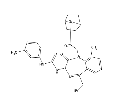 Cc1cccc(NC(=O)NC2N=C(CC(C)C)c3cccc(C)c3N(CC(=O)N3CC4CCC(CC4)C3)C2=O)c1